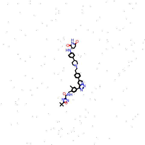 Cc1cc(-c2ncnn3cc(-c4ccc(CCN5CCC(c6ccc(N[C@H]7CCC(=O)NC7=O)cc6)CC5)cc4)cc23)ccc1CNC(=O)c1noc(C(C)(C)C)n1